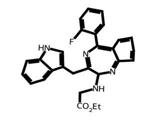 CCOC(=O)CNC1N=c2ccccc2=C(c2ccccc2F)N=C1Cc1c[nH]c2ccccc12